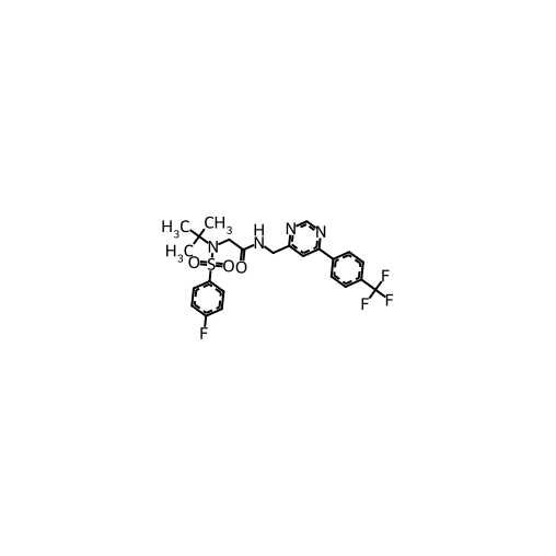 CC(C)(C)N(CC(=O)NCc1cc(-c2ccc(C(F)(F)F)cc2)ncn1)S(=O)(=O)c1ccc(F)cc1